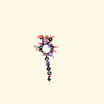 C[C@@H](O)C1NC(=O)[C@@H](NCC2CCN(c3nn4cc(-c5ccc(N6CCC(OCC7CCC7)CC6)cc5)nc4s3)CC2)C[C@@H](O)CNC(=O)[C@@H]2[C@@H](O)[C@@H](C)CN2C(=O)[C@H]([C@H](O)CCNC(CO)CO)NC(=O)[C@H]([C@H](O)Cc2ccc(O)c(OS(=O)(=O)O)c2)NC(=O)[C@@H]2C[C@@H](O)CN2C1=O